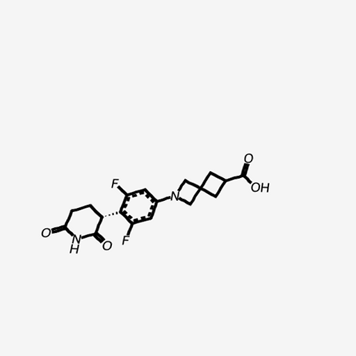 O=C1CC[C@H](c2c(F)cc(N3CC4(CC(C(=O)O)C4)C3)cc2F)C(=O)N1